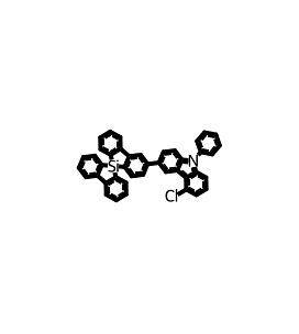 Clc1cccc2c1c1cc(-c3ccc4c(c3)-c3ccccc3[Si]43c4ccccc4-c4ccccc43)ccc1n2-c1ccccc1